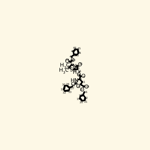 CC1(C)S[C@@H]2[C@@H](COC(=O)C(CCC(=O)OCc3ccccc3)NC(=O)OCc3ccccc3)C(=O)N2[C@H]1C(=O)OCc1ccccc1